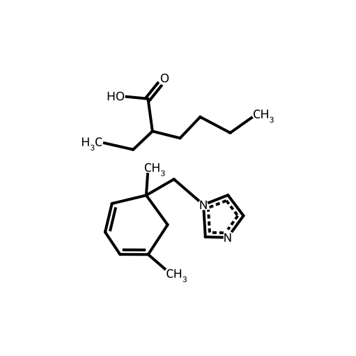 CC1=CC=CC(C)(Cn2ccnc2)C1.CCCCC(CC)C(=O)O